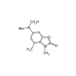 Cc1cc(N(C(=O)O)C(C)(C)C)cc2oc(=O)n(C)c12